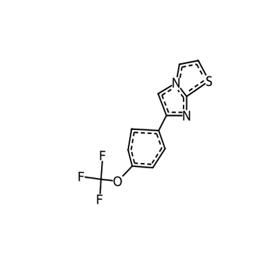 FC(F)(F)Oc1ccc(-c2cn3ccsc3n2)cc1